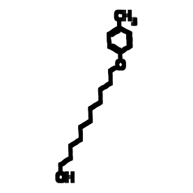 Cc1ccc(OCCCCCCCCCCCO)cc1